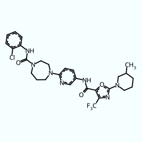 CC1CCCN(c2nc(C(F)(F)F)c(C(=O)Nc3ccc(N4CCCN(C(=O)Nc5ccccc5Cl)CC4)nc3)o2)C1